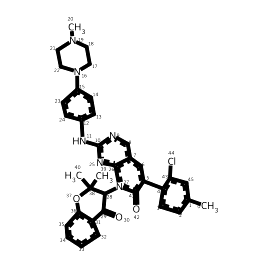 Cc1ccc(-c2cc3cnc(Nc4ccc(N5CCN(C)CC5)cc4)nc3n(C3C(=O)c4ccccc4OC3(C)C)c2=O)c(Cl)c1